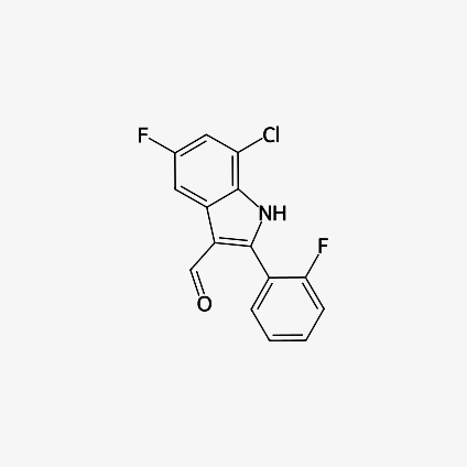 O=Cc1c(-c2ccccc2F)[nH]c2c(Cl)cc(F)cc12